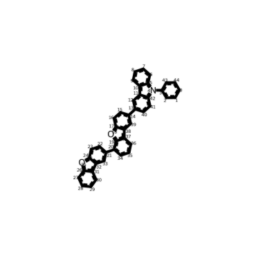 c1ccc(-n2c3ccccc3c3cc(-c4ccc5oc6c(-c7ccc8oc9ccccc9c8c7)cccc6c5c4)ccc32)cc1